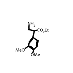 CCOC(=O)C(CN)c1ccc(OC)c(OC)c1